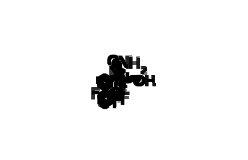 NC(=O)c1cn(CCO)c(=O)c(-c2cccc(-c3c(F)cccc3OC(F)(F)F)c2)n1